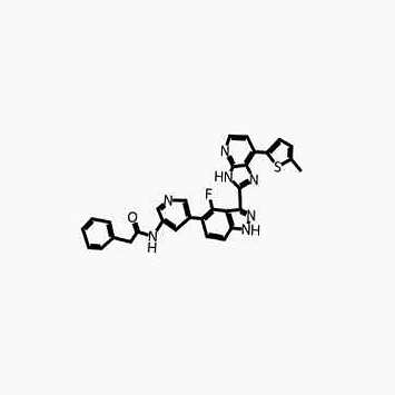 Cc1ccc(-c2ccnc3[nH]c(-c4n[nH]c5ccc(-c6cncc(NC(=O)Cc7ccccc7)c6)c(F)c45)nc23)s1